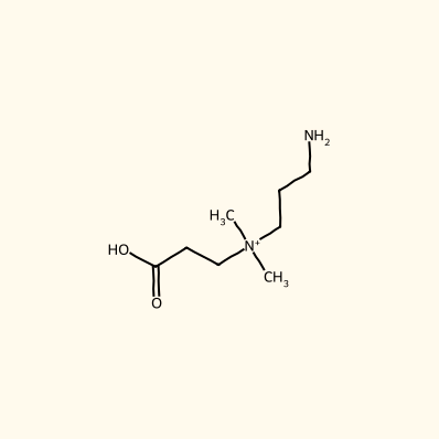 C[N+](C)(CCCN)CCC(=O)O